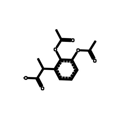 CC(=O)Oc1cccc(C(C)C([O])=O)c1OC(C)=O